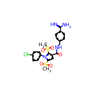 CS(=O)(=O)c1cc(C(=O)NCc2ccc(C(=N)N)cc2)c(S(C)(=O)=O)n1-c1ccc(Cl)cc1